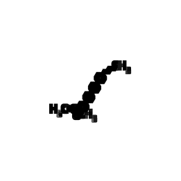 CCCCC[C@H]1CC[C@H](c2ccc(-c3ccc(C4CCC(C)(C(=O)OCCC)CC4)cc3)cc2)CC1